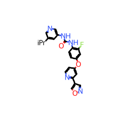 CC(C)c1cncc(NC(=O)Nc2ccc(Oc3ccnc(-c4cnoc4)c3)cc2F)c1